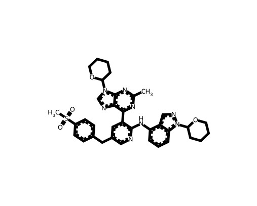 Cc1nc(-c2cc(Cc3ccc(S(C)(=O)=O)cc3)cnc2Nc2cccc3c2cnn3C2CCCCO2)c2ncn(C3CCCCO3)c2n1